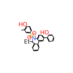 CCC1c2ccccc2-c2cc(-c3ccccc3O)ccc2N1S(=O)(=O)c1ccc(O)c(C)c1